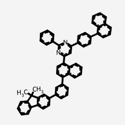 CC1(C)c2ccccc2-c2ccc(-c3cccc(-c4ccc(-c5cc(-c6ccc(-c7cccc8ccccc78)cc6)nc(-c6ccccc6)n5)c5ccccc45)c3)cc21